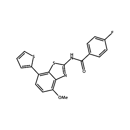 COc1ccc(-c2cccs2)c2sc(NC(=O)c3ccc(F)cc3)nc12